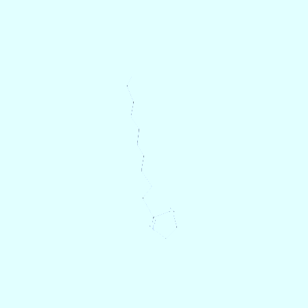 CCCCCCCCCCC1=NCCN1